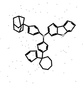 c1ccc(C2(c3ccc(N(c4ccc(C56CC7CC(CC(C7)C5)C6)cc4)c4ccc5c(c4)oc4ccccc45)cc3)CCCCCC2)cc1